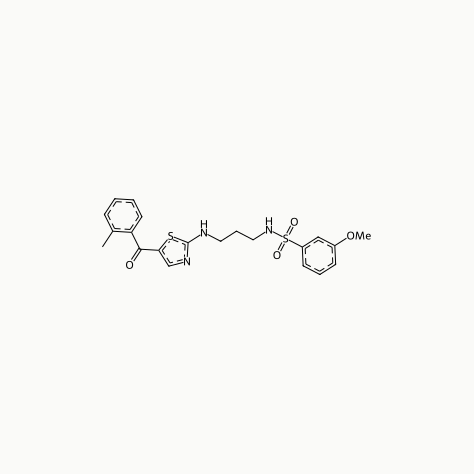 COc1cccc(S(=O)(=O)NCCCNc2ncc(C(=O)c3ccccc3C)s2)c1